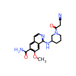 COc1cc2c(NC3CCCN(C(=O)CC#N)C3)nccc2cc1C(N)=O